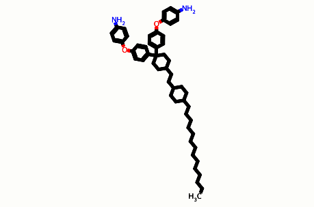 CCCCCCCCCCCCCCC1CCC(CCC2CCC(c3ccc(Oc4ccc(N)cc4)cc3)(c3ccc(Oc4ccc(N)cc4)cc3)CC2)CC1